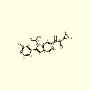 Cc1cc(-c2cc3cnc(NC(=O)C4CC4)cc3n2C(C)C)ccn1